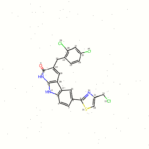 O=c1[nH]c2[nH]c3ccc(-c4nc(CCl)cs4)cc3c2cc1Cc1ccc(Cl)cc1Cl